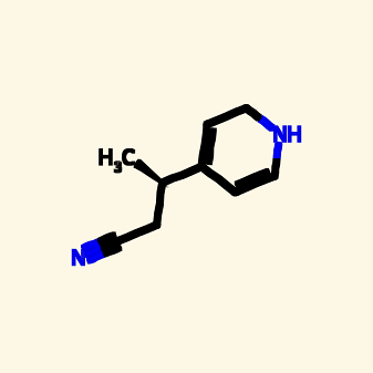 C[C@H](CC#N)C1=CCNC=C1